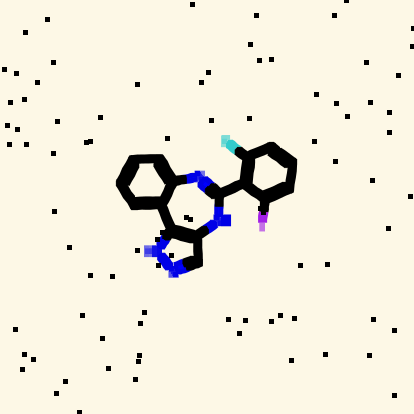 Fc1cccc(I)c1C1=Nc2ccccc2-c2[nH]ncc2N1